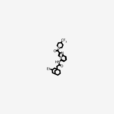 CCC1CC2CCCC(CC(=O)Nc3cccc4nc(C(=O)N5CCC(C(F)(F)F)CC5)cn34)(C1)C2